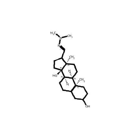 CN(C)/N=C/C1CC[C@@]2(O)[C@@H]3CCC4CC(O)CC[C@]4(C)[C@@H]3CC[C@]12C